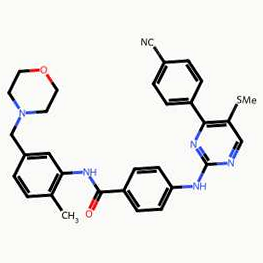 CSc1cnc(Nc2ccc(C(=O)Nc3cc(CN4CCOCC4)ccc3C)cc2)nc1-c1ccc(C#N)cc1